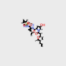 C=CCC[C@@H](C)O[C@@H](CC)CC(=O)N1C[C@H](O)C[C@H]1C(=O)N[C@]1(C(=O)NS(=O)(=O)C2(C)CC2)C[C@H]1C=C